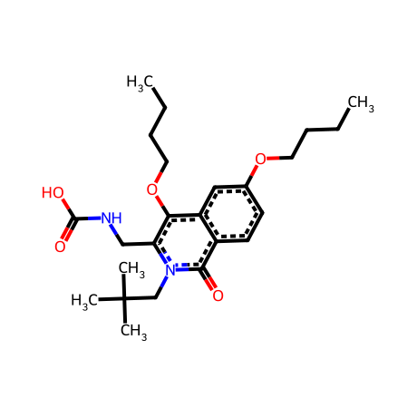 CCCCOc1ccc2c(=O)n(CC(C)(C)C)c(CNC(=O)O)c(OCCCC)c2c1